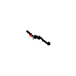 CCCCCC[C@@H](F)COc1ccc(-c2ncc(CCCCCCCCC3CCCC3)cn2)cc1F